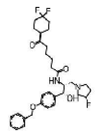 O=C(CCCCC(=O)C1CCC(F)(F)CC1)N[C@H](CN1CC[C@@H](F)C1)[C@H](O)c1ccc(OCc2ccccc2)cc1